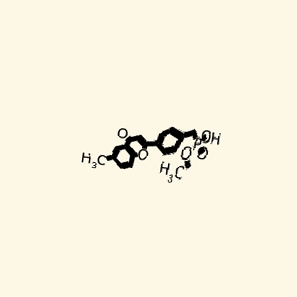 CCOP(=O)(O)Cc1ccc(-c2cc(=O)c3cc(C)ccc3o2)cc1